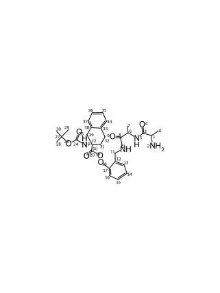 CC(N)C(=O)NC(C)C(=O)NCc1ccccc1OOC(=O)[C@]1(NC(=O)OC(C)(C)C)CCc2ccccc2C1